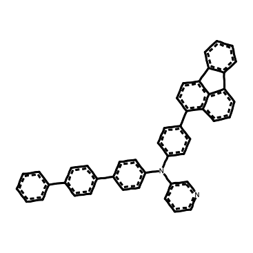 c1ccc(-c2ccc(-c3ccc(N(c4ccc(-c5ccc6c7c(cccc57)-c5ccccc5-6)cc4)c4cccnc4)cc3)cc2)cc1